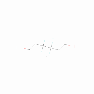 OCCC(F)(F)C(F)(F)CCO